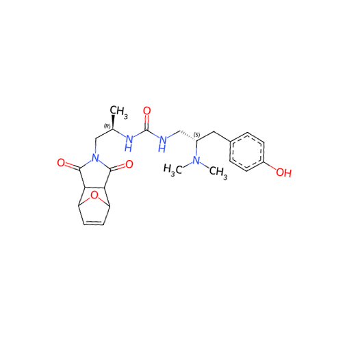 C[C@H](CN1C(=O)C2C3C=CC(O3)C2C1=O)NC(=O)NC[C@H](Cc1ccc(O)cc1)N(C)C